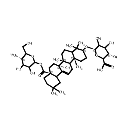 CC1(C)CC[C@]2(C(=O)OC3OC(CO)[C@@H](O)C(O)C3O)CC[C@]3(C)C(=CCC4[C@@]5(C)CC[C@H](O[C@@H]6OC(C(=O)O)[C@@H](O)C(O)C6O)C(C)(C)C5CC[C@]43C)C2C1